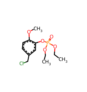 CCOP(=O)(OCC)Oc1cc(CCl)ccc1OC